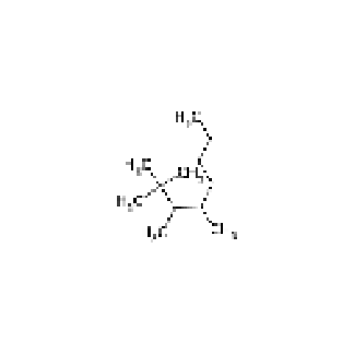 CCCCC(C)C(C)C(C)(C)C